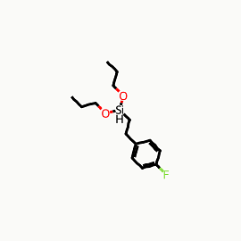 CCCO[SiH](CCc1ccc(F)cc1)OCCC